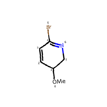 COC1C=CC(Br)=NC1